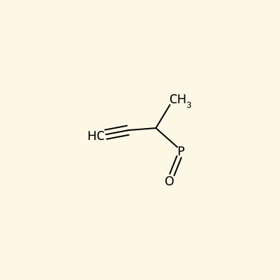 C#CC(C)P=O